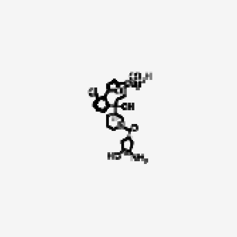 Cc1ccc(-c2c(Cl)cccc2[C@](O)(CCCNC(=O)O)[C@@H]2CCCN(C(=O)[C@H]3C[C@@H](N)[C@@H](O)C3)C2)o1